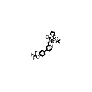 CC(C)(C)OC(=O)[N+]1(C(=O)NCc2cc(-c3ccc(OC(F)(F)F)cc3)ccn2)CC=CC1